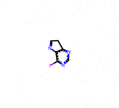 Ic1ncnc2c1N=CC2